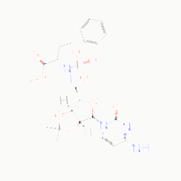 COC(=O)[C@@H](NP(=O)(OC[C@H]1O[C@@H](n2ccc(N)nc2=O)[C@@H]2OC(C)(C)O[C@@H]21)Oc1ccccc1)C(C)C